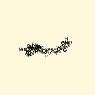 COc1cc(N2CCC(N(C)Cc3cc4c(cc3F)C(=O)N(C3CCC(=O)NC3=O)C4)CC2)c(C)cc1Nc1ncc(Br)c(Nc2ccc3nccnc3c2P(=O)(OC)OC)n1